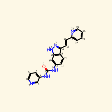 O=C(Nc1cccnc1)Nc1ccc2c(/C=C/c3ccccn3)n[nH]c2c1